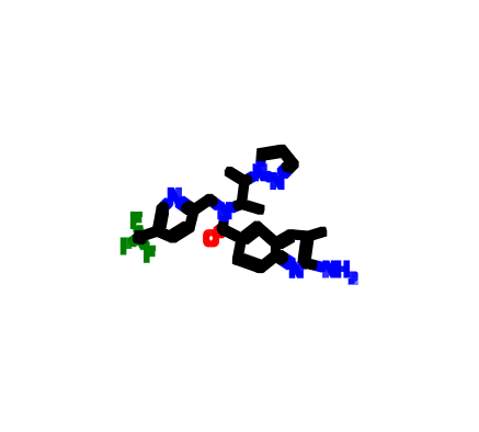 Cc1cc2cc(C(=O)N(Cc3ccc(C(F)(F)F)cn3)C(C)C(C)n3cccn3)ccc2nc1N